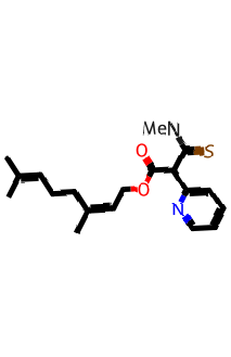 CNC(=S)C(C(=O)OCC=C(C)CCC=C(C)C)c1ccccn1